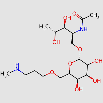 CNCCCOCC1O[C@H](OC[C@H](NC(C)=O)[C@H](O)[C@@H](C)O)C(O)[C@@H](O)[C@H]1O